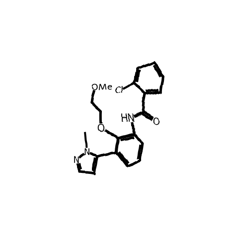 COCCOc1c(NC(=O)c2ccccc2Cl)cccc1-c1ccnn1C